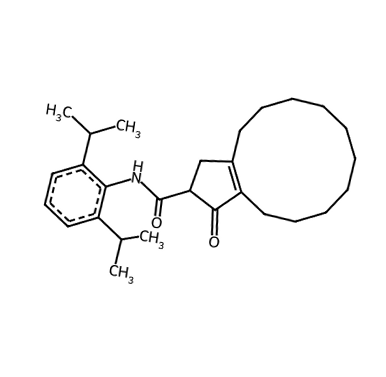 CC(C)c1cccc(C(C)C)c1NC(=O)C1CC2=C(CCCCCCCCCC2)C1=O